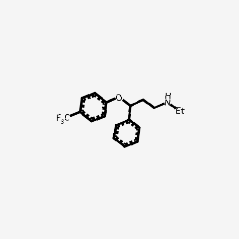 CCNCCC(Oc1ccc(C(F)(F)F)cc1)c1ccccc1